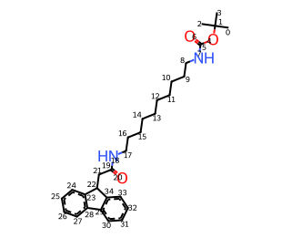 CC(C)(C)OC(=O)NCCCCCCCCCCNC(=O)CC1c2ccccc2-c2ccccc21